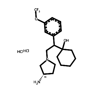 Cl.Cl.N[C@H]1CCN(CC(c2cccc(OC(F)(F)F)c2)C2(O)CCCCC2)C1